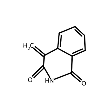 C=C1C(=O)NC(=O)c2ccccc21